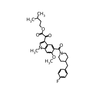 COc1cc2c(cc1C(=O)N1CCC(Cc3ccc(F)cc3)CC1)c(C(=O)C(=O)OCCC(C)C)cn2C